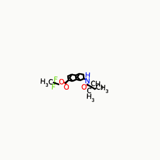 CCC(C)(C)C(=O)NC1CC2CC1C1C3CC(CC3C(=O)OCC(C)(F)F)C21